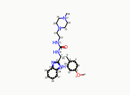 COc1ccc(C[C@@H](NC(=O)NCCN2CCN(C)CC2)c2nc3ccccc3[nH]2)cc1